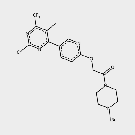 Cc1c(-c2ccc(OCC(=O)N3CCN(C(C)(C)C)CC3)nc2)nc(Cl)nc1C(F)(F)F